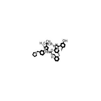 CC(C)(C)c1cc(NC(=O)NCc2ccccc2Sc2ccc3nnc(-c4cc(O)ccc4F)n3c2)n(-c2cccc(CN3CCCC3)c2)n1